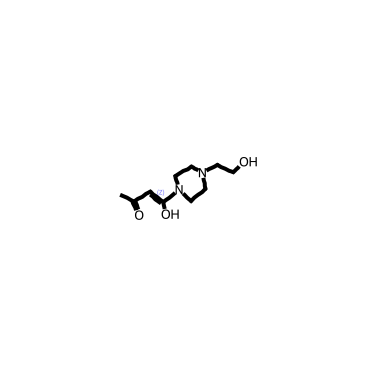 CC(=O)/C=C(\O)N1CCN(CCO)CC1